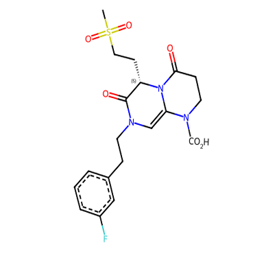 CS(=O)(=O)CC[C@H]1C(=O)N(CCc2cccc(F)c2)C=C2N(C(=O)O)CCC(=O)N21